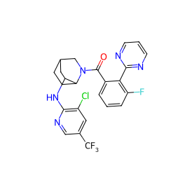 O=C(c1cccc(F)c1-c1ncccn1)N1CC2CCC1C(Nc1ncc(C(F)(F)F)cc1Cl)C2